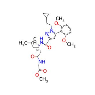 COC(=O)CNC(=O)C[C@H](CC(C)C)NC(=O)c1cc(-c2c(OC)cccc2OC)n(CCC2CC2)n1